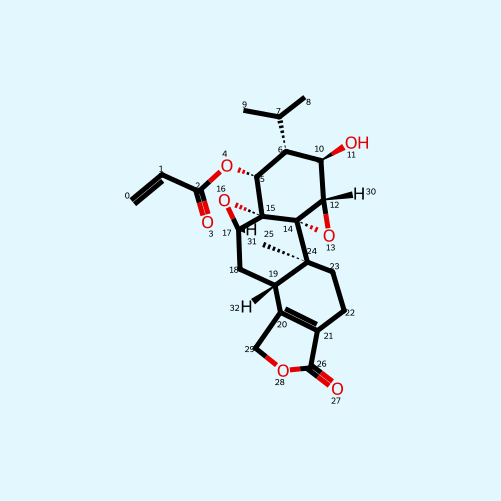 C=CC(=O)O[C@@H]1[C@H](C(C)C)[C@@H](O)[C@@H]2O[C@]23[C@]12O[C@H]2C[C@H]1C2=C(CC[C@@]13C)C(=O)OC2